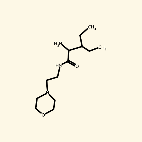 CCC(CC)C(N)C(=O)NCCN1CCOCC1